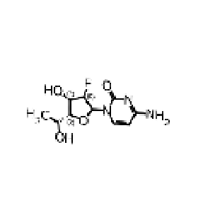 CC(O)[C@H]1OC(n2ccc(N)nc2=O)[C@H](F)[C@@H]1O